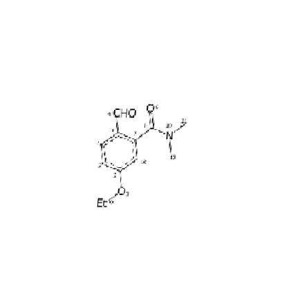 CCOc1ccc(C=O)c(C(=O)N(C)C)c1